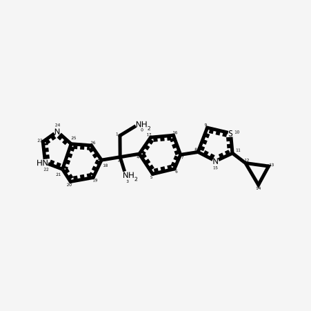 NCC(N)(c1ccc(-c2csc(C3CC3)n2)cc1)c1ccc2[nH]cnc2c1